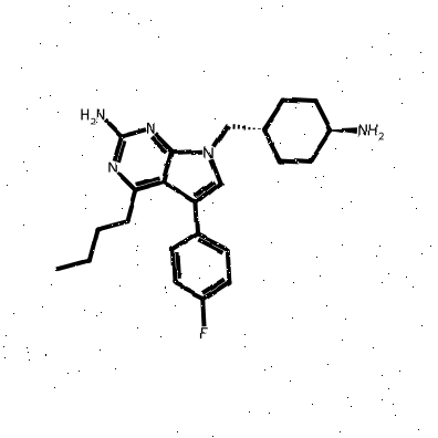 CCCCc1nc(N)nc2c1c(-c1ccc(F)cc1)cn2C[C@H]1CC[C@H](N)CC1